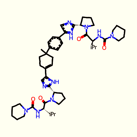 CC(C)[C@H](NC(=O)N1CCCCC1)C(=O)N1CCC[C@H]1c1ncc(C2=CCC(C)(c3ccc(-c4cnc([C@@H]5CCCN5C(=O)[C@@H](NC(=O)N5CCCCC5)C(C)C)[nH]4)cc3)CC2)[nH]1